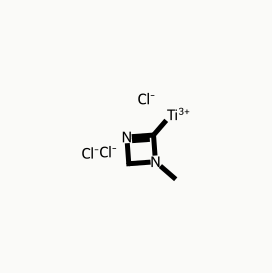 CN1CN=[C]1[Ti+3].[Cl-].[Cl-].[Cl-]